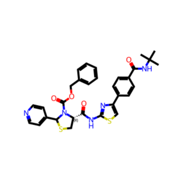 CC(C)(C)NC(=O)c1ccc(-c2csc(NC(=O)[C@@H]3CSC(c4ccncc4)N3C(=O)OCc3ccccc3)n2)cc1